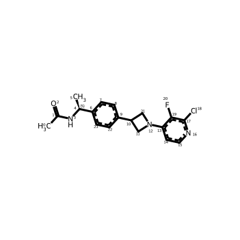 CC(=O)N[C@@H](C)c1ccc(C2CN(c3ccnc(Cl)c3F)C2)cc1